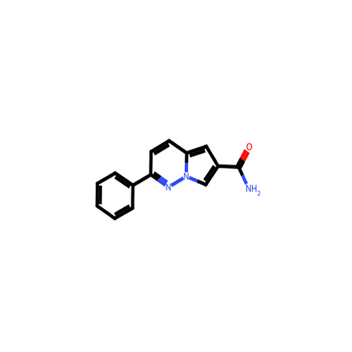 NC(=O)c1cc2ccc(-c3ccccc3)nn2c1